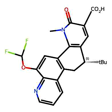 Cn1c2c(cc(C(=O)O)c1=O)[C@H](C(C)(C)C)Cc1c-2cc(OC(F)F)c2ncccc12